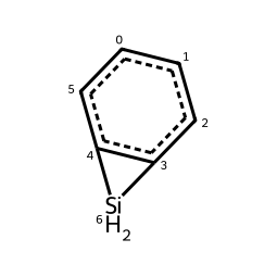 c1ccc2c(c1)[SiH2]2